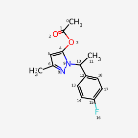 CC(=O)Oc1cc(C)nn1C(C)c1ccc(F)cc1